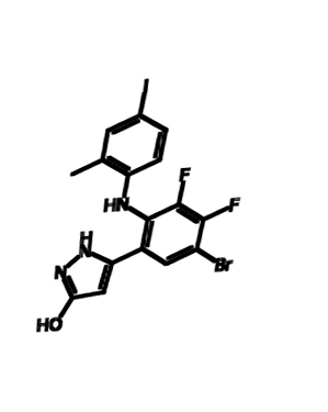 Cc1cc(I)ccc1Nc1c(-c2cc(O)n[nH]2)cc(Br)c(F)c1F